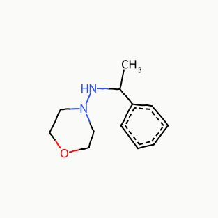 CC(NN1CCOCC1)c1ccccc1